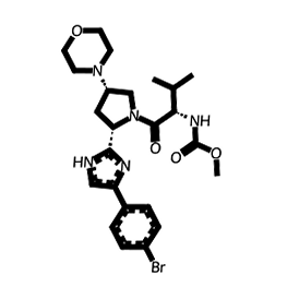 COC(=O)N[C@H](C(=O)N1C[C@@H](N2CCOCC2)C[C@H]1c1nc(-c2ccc(Br)cc2)c[nH]1)C(C)C